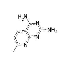 Cc1ccc2c(N)nc(N)nc2n1